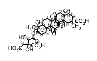 CC1(C)C2CC[C@]3(C)[C@H](C(=O)C=C4[C@H]5C[C@@](C)(C(=O)O)CC[C@]5(C)CC[C@]43C)[C@@]2(C)CC[C@@H]1OC(=O)C(O)C(O)(CC(=O)O)C(=O)O